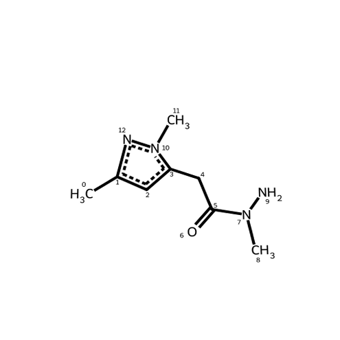 Cc1cc(CC(=O)N(C)N)n(C)n1